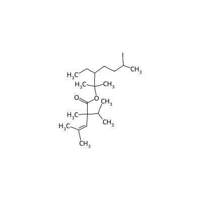 CCC(CCC(C)I)C(C)(C)OC(=O)C(C)(C=C(C)C)C(C)C